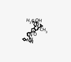 CN(Cc1nc(C2(C)CC2)cc2c1CN(c1cccc(-c3nncn3C3CCC3)n1)C2=O)C(=O)O